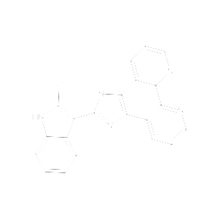 Clc1[nH]c2ccccc2c1-c1nc2c3cccnc3c3ncccc3c2[nH]1